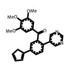 COc1cc(C(=O)c2cc(C3=CC=CC3)ccc2-c2cncnc2)cc(OC)c1OC